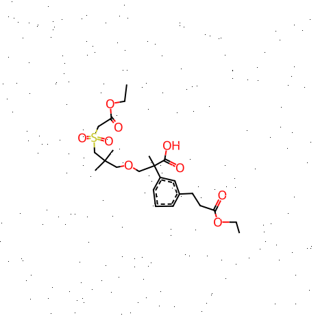 CCOC(=O)CCc1cccc(C(C)(COCC(C)(C)CS(=O)(=O)CC(=O)OCC)C(=O)O)c1